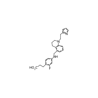 O=C(O)CCc1ccc(NCc2cccc3c2CCCN3CCn2cccn2)cc1F